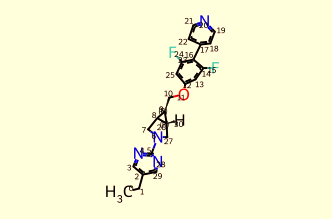 CCc1cnc(N2CC3[C@@H](COc4cc(F)c(-c5ccncc5)c(F)c4)[C@@H]3C2)nc1